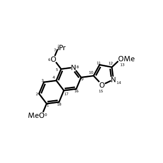 COc1ccc2c(OC(C)C)nc(-c3cc(OC)no3)cc2c1